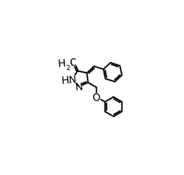 C=c1[nH]nc(COc2ccccc2)c1=Cc1ccccc1